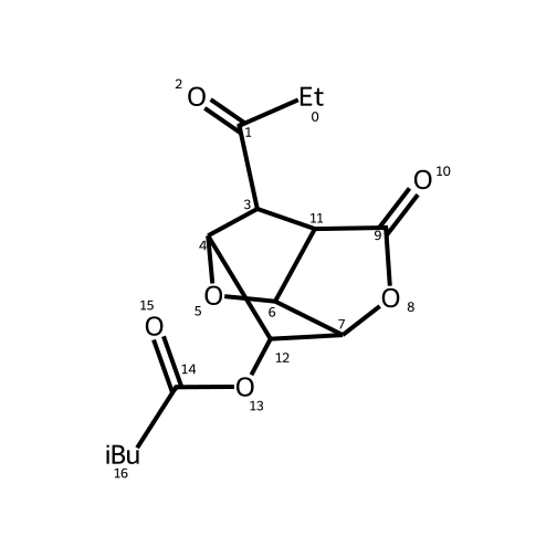 CCC(=O)C1C2OC3C(OC(=O)C31)C2OC(=O)C(C)CC